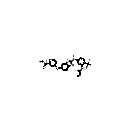 C=CC(=O)Nc1cc(Nc2nc3cc(Oc4ccnc(C(=O)NC)c4)ccc3[nH]2)ccc1C(F)(F)F